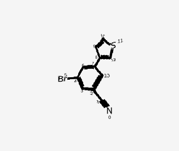 N#Cc1cc(Br)cc(-c2ccsc2)c1